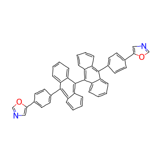 c1ccc2c(-c3c4ccccc4c(-c4ccc(-c5cnco5)cc4)c4ccccc34)c3ccccc3c(-c3ccc(-c4cnco4)cc3)c2c1